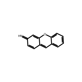 N=c1ccc2cc3ccccc3oc-2c1